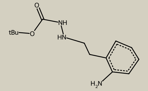 CC(C)(C)OC(=O)NNCCc1ccccc1N